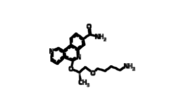 C[C@H](COCCCCN)Oc1nc2cc(C(N)=O)ccc2c2cnccc12